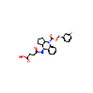 O=C(O)CCC(=O)NC1c2ccccc2N(C(=O)OCc2cccc(F)c2)C2CCCC12